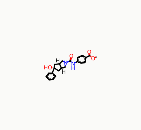 COC(=O)c1ccc(NC(=O)N2C[C@@H]3C[C@@](O)(c4ccccc4)C[C@@H]3C2)cc1